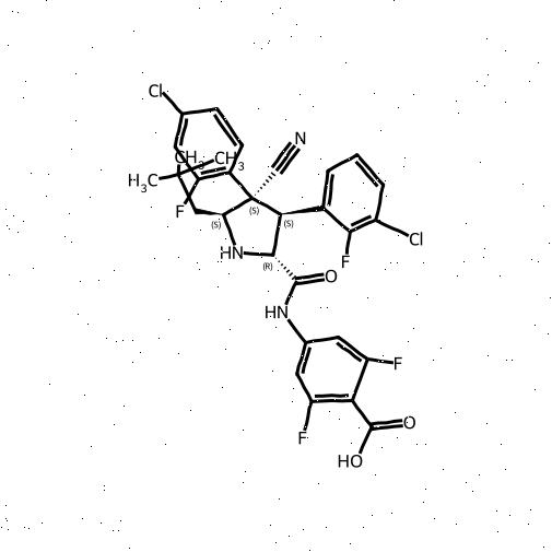 CC(C)(C)C[C@@H]1N[C@@H](C(=O)Nc2cc(F)c(C(=O)O)c(F)c2)[C@H](c2cccc(Cl)c2F)[C@]1(C#N)c1ccc(Cl)cc1F